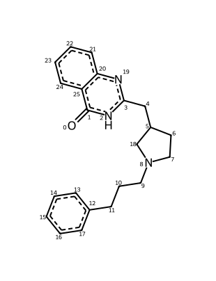 O=c1[nH]c(CC2CCN(CCCc3ccccc3)C2)nc2ccccc12